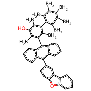 Bc1c(B)c(B)c(-c2c(B)c(O)c(B)c(-c3c4ccccc4c(-c4ccc5oc6ccccc6c5c4)c4ccccc34)c2B)c(B)c1B